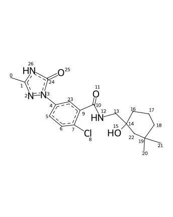 Cc1nn(-c2ccc(Cl)c(C(=O)NCC3(O)CCCC(C)(C)C3)c2)c(=O)[nH]1